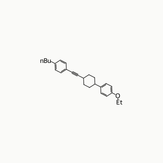 CCCCc1ccc(C#CC2CCC(c3ccc(OCC)cc3)CC2)cc1